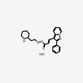 Cl.O=C(C=Cc1c(-c2ccccc2)nn2ccccc12)OOCCC1CCCCN1